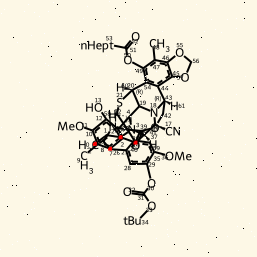 C=CCN1[C@H]2c3c(cc(C)c(OC)c3O)C[C@H]1[C@H](C#N)N1C2[C@@H]2SC[C@]3(NCCc4cc(OC(=O)OC(C)(C)C)c(OC)cc43)C(=O)OC[C@H]1c1c3c(c(C)c(OC(=O)CCCCCCC)c12)OCO3